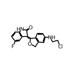 O=C1Nc2ccc(F)cc2C1=C1OCc2cc(NCCCl)ccc21